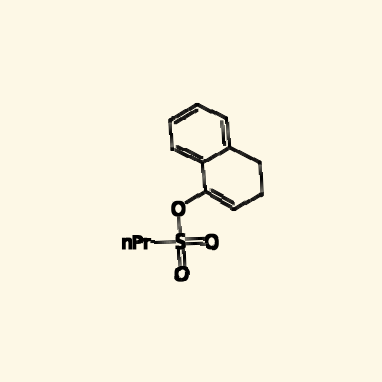 CCCS(=O)(=O)OC1=CCCc2ccccc21